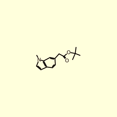 Cn1ccc2ccc(CC(=O)OC(C)(C)C)cc21